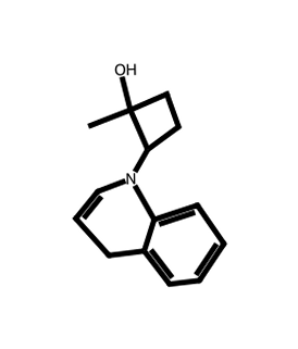 CC1(O)CCC1N1C=CCc2ccccc21